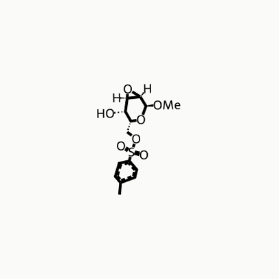 CO[C@H]1O[C@H](COS(=O)(=O)c2ccc(C)cc2)[C@H](O)[C@H]2O[C@@H]12